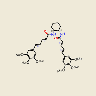 COc1cc(/C=C/C=C/C(=O)N[C@H]2CCCC[C@H]2NC(=O)/C=C/C=C/c2cc(OC)c(OC)c(OC)c2)cc(OC)c1OC